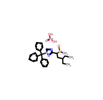 CCC(CC)CC(c1ncn(C(c2ccccc2)(c2ccccc2)c2ccccc2)n1)[S+](C)[O-].O=[PH](O)O